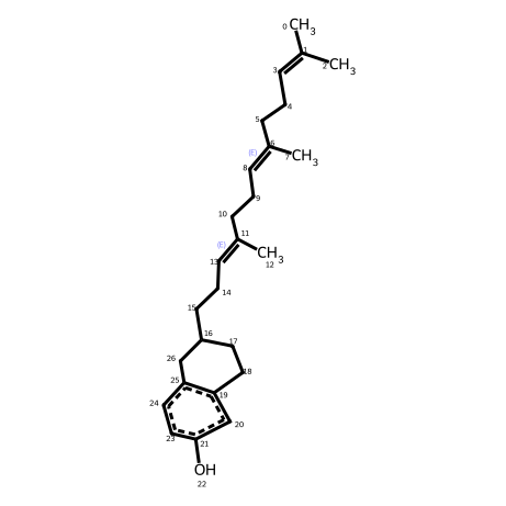 CC(C)=CCC/C(C)=C/CC/C(C)=C/CCC1CCc2cc(O)ccc2C1